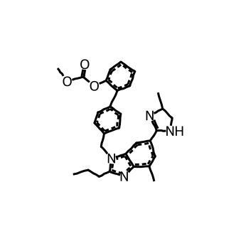 CCCc1nc2c(C)cc(C3=NC(C)CN3)cc2n1Cc1ccc(-c2ccccc2OC(=O)OC)cc1